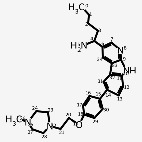 CCCCC(N)c1cnc2[nH]c3ccc(-c4ccc(OCCN5CCN(C)CC5)cc4)cc3c2c1